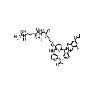 CCOc1cc(F)c(Cn2nc(-c3ncc(OCCCOC(=O)[C@H](C)NC(=O)[C@@H](N)CCCNC(=N)N)c(Nc4ccnc(NC(C)=O)c4)n3)c3ccccc32)c(F)c1